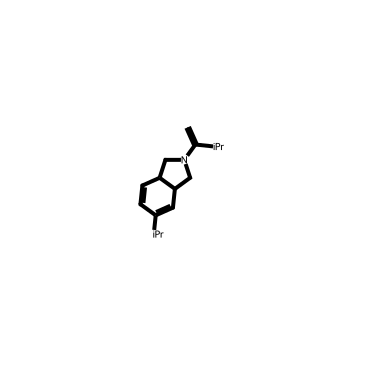 C=C(C(C)C)N1CC2C=CC(C(C)C)=CC2C1